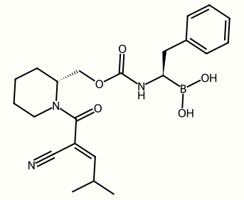 CC(C)/C=C(\C#N)C(=O)N1CCCC[C@@H]1COC(=O)N[C@@H](Cc1ccccc1)B(O)O